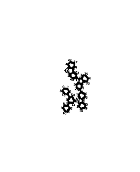 c1ccc(-c2cc(-c3ccccc3)cc(-n3c4ccccc4c4ccc(-c5ccc6c(c5)c5ccccc5n6-c5ccc6oc7ccccc7c6c5)cc43)c2)cc1